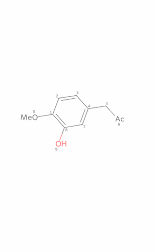 COc1ccc(CC(C)=O)cc1O